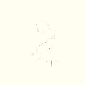 Cc1nc(C)c2nnn([C@@H]3C[C@H](O)[C@H]4OC(C)(C)O[C@H]43)c2n1